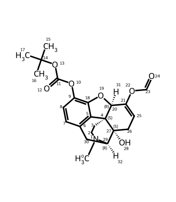 CN1CC[C@]23c4c5ccc(OC(=O)OC(C)(C)C)c4O[C@H]2C(OC=O)=CC[C@@]3(O)[C@H]1C5